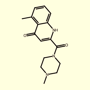 Cc1cccc2[nH]c(C(=O)N3CCN(C)CC3)cc(=O)c12